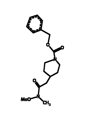 CON(C)C(=O)CC1CCN(C(=O)OCc2ccccc2)CC1